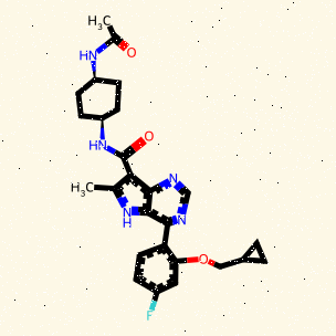 CC(=O)N[C@H]1CC[C@@H](NC(=O)c2c(C)[nH]c3c(-c4ccc(F)cc4OCC4CC4)ncnc23)CC1